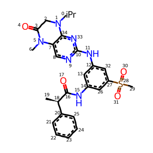 CC(C)N1CC(=O)N(C)c2cnc(Nc3cc(NC(=O)[C@H](C)c4ccccc4)cc(S(C)(=O)=O)c3)nc21